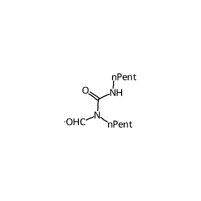 CCCCCNC(=O)N([C]=O)CCCCC